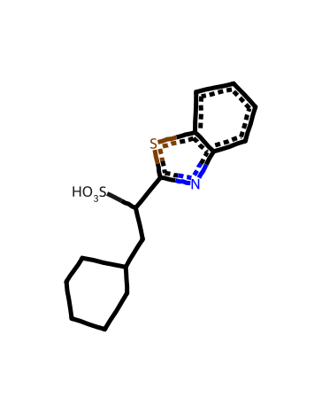 O=S(=O)(O)C(CC1CCCCC1)c1nc2ccccc2s1